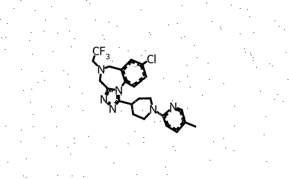 Cc1ccc(N2CCC(c3nnc4n3-c3ccc(Cl)cc3CN(CC(F)(F)F)C4)CC2)nc1